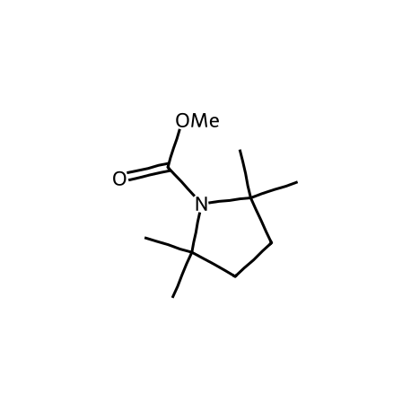 COC(=O)N1C(C)(C)CCC1(C)C